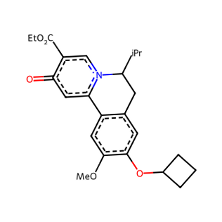 CCOC(=O)c1cn2c(cc1=O)-c1cc(OC)c(OC3CCC3)cc1CC2C(C)C